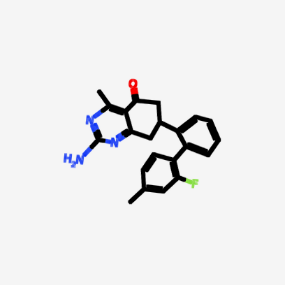 Cc1ccc(-c2ccccc2C2CC(=O)c3c(C)nc(N)nc3C2)c(F)c1